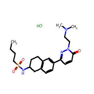 CCCCS(=O)(=O)NC1CCc2cc(-c3ccc(=O)n(CCN(C)C)n3)ccc2C1.Cl